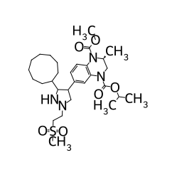 COC(=O)N1c2ccc(C3CN(CCS(C)(=O)=O)NC3C3CCCCCCCC3)cc2N(C(=O)OC(C)C)C[C@@H]1C